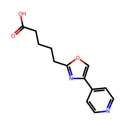 O=C(O)CCCCc1nc(-c2ccncc2)co1